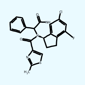 Cc1nc(C(=O)N(C(C(N)=O)c2ccccc2)[C@@H]2CCc3c(F)cc(Cl)cc32)cs1